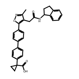 Cc1noc(-c2ccc(-c3ccc(C4(C(=O)O)CC4)cc3)cc2)c1CC(=O)NC1CCc2ccccc21